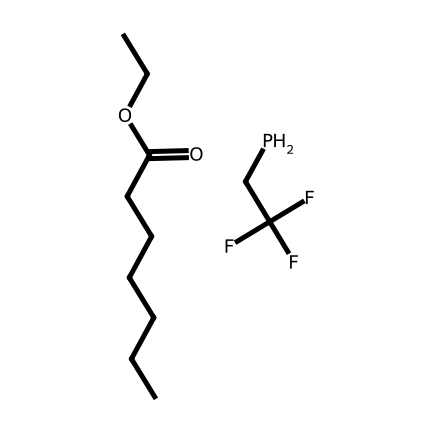 CCCCCCC(=O)OCC.FC(F)(F)CP